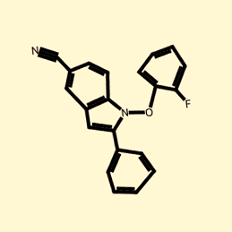 N#Cc1ccc2c(c1)cc(-c1ccccc1)n2Oc1ccccc1F